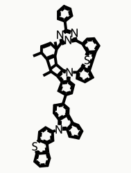 CC1C=CC2(C)C3=C1C(C)c1c(n(c4ccc(-c5ccc6c(c5)c5ccccc5n6-c5ccc6sc7ccccc7c6c5)cc14)-c1cccc4c1sc1c(cccc14)-c1nc(-c4ccccc4)nc2n1)C3C